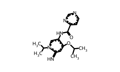 CC(C)Oc1cc(=N)n(C(C)C)cc1NC(=O)c1ccncn1